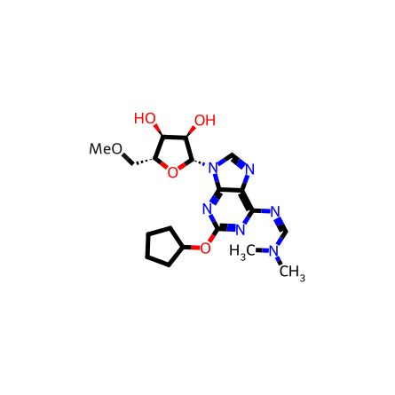 COC[C@H]1O[C@@H](n2cnc3c(/N=C\N(C)C)nc(OC4CCCC4)nc32)[C@H](O)[C@@H]1O